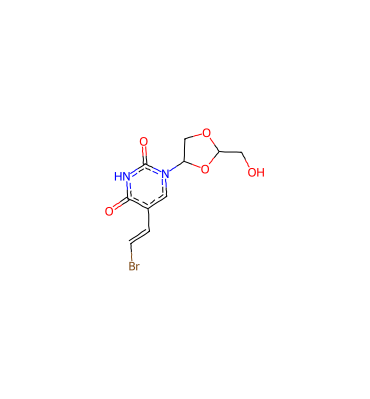 O=c1[nH]c(=O)n(C2COC(CO)O2)cc1C=CBr